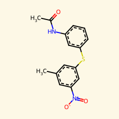 CC(=O)Nc1cccc(Sc2cc(C)cc([N+](=O)[O-])c2)c1